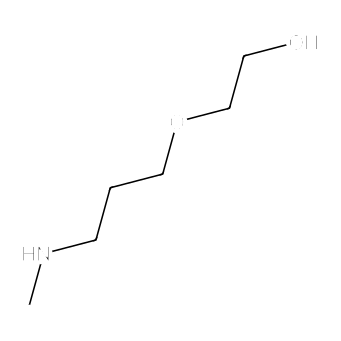 CNCCCOCCO